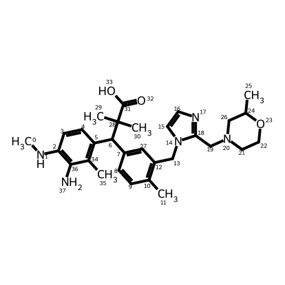 CNc1ccc(C(c2ccc(C)c(Cn3ccnc3CN3CCOC(C)C3)c2)C(C)(C)C(=O)O)c(C)c1N